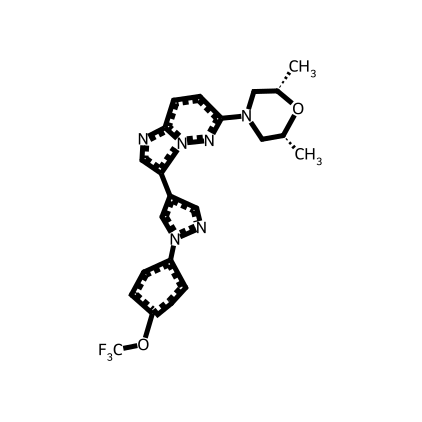 C[C@@H]1CN(c2ccc3ncc(-c4cnn(-c5ccc(OC(F)(F)F)cc5)c4)n3n2)C[C@H](C)O1